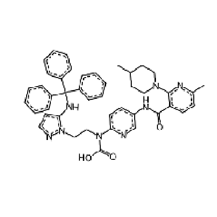 Cc1ccc(C(=O)Nc2ccc(N(CCn3nccc3NC(c3ccccc3)(c3ccccc3)c3ccccc3)C(=O)O)nc2)c(N2CCC(C)CC2)n1